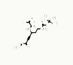 COC(=O)C#CC(CCNC(=O)OC(C)(C)C)N[C@@H](C)C(=O)O